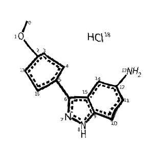 COc1ccc(-c2n[nH]c3ccc(N)cc23)cc1.Cl